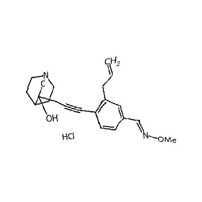 C=CCc1cc(C=NOC)ccc1C#CC1(O)CN2CCC1CC2.Cl